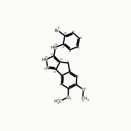 COc1cc2c(cc1OC)-c1n[nH]c(Nc3ccccc3Br)c1C2